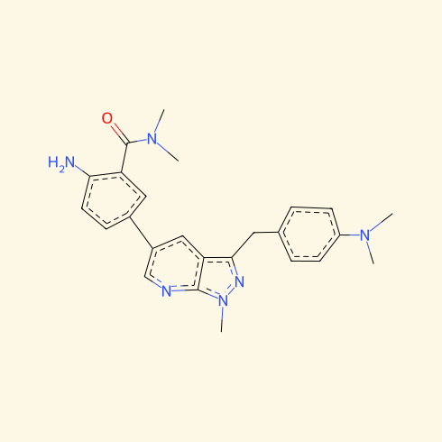 CN(C)C(=O)c1cc(-c2cnc3c(c2)c(Cc2ccc(N(C)C)cc2)nn3C)ccc1N